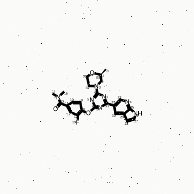 C[C@H]1CN(c2nc(Oc3ccc(C(=O)N(C)C)cc3F)nc(-c3cnc4[nH]ccc4c3)n2)CCO1